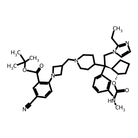 CCc1nccn1CC(c1cccc(F)c1)(C1CCN(CC2CN(c3ccc(C#N)cc3C(=O)OC(C)(C)C)C2)CC1)[C@H]1CCC[C@@H]1OC(=O)NC